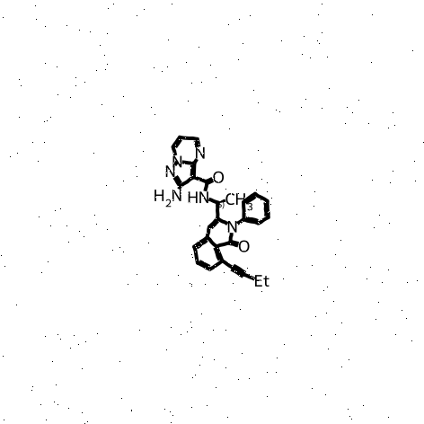 CCC#Cc1cccc2cc([C@H](C)NC(=O)c3c(N)nn4cccnc34)n(-c3ccccc3)c(=O)c12